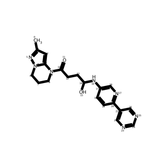 Cc1cc2n(n1)CCCN2C(=O)CCC(O)Nc1ccc(-c2cncnc2)nc1